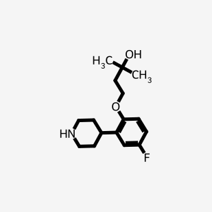 CC(C)(O)CCOc1ccc(F)cc1C1CCNCC1